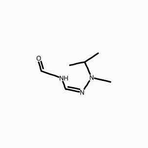 CC(C)N(C)/N=C\NC=O